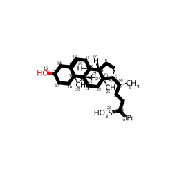 CC(C)C(CC[C@@H](C)[C@H]1CC[C@H]2[C@@H]3CC=C4CC(O)CC[C@]4(C)[C@H]3CC[C@]12C)S(=O)(=O)O